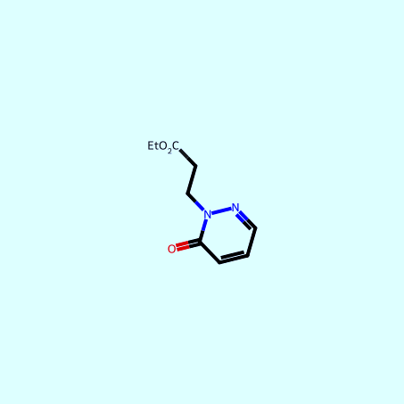 CCOC(=O)CCn1ncccc1=O